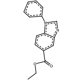 CCOC(=O)c1ccc2c(c1)ncn2-c1ccccc1